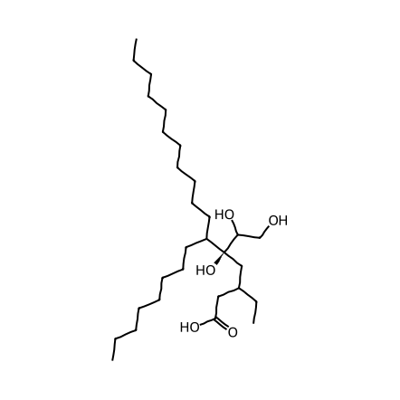 CCCCCCCCCCCC(CCCCCCCC)[C@@](O)(CC(CC)CC(=O)O)C(O)CO